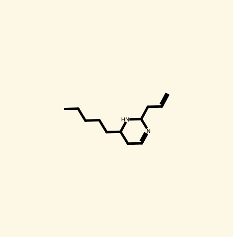 C=CCC1N=CCC(CCCCC)N1